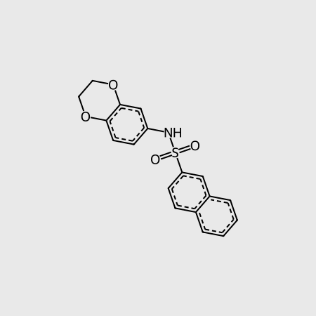 O=S(=O)(Nc1ccc2c(c1)OCCO2)c1ccc2ccccc2c1